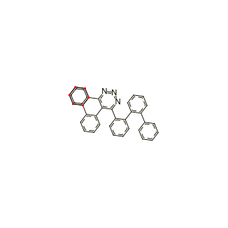 c1ccc(-c2ccccc2-c2ccccc2-c2nnnc(-c3ccccc3)c2-c2ccccc2-c2ccccc2)cc1